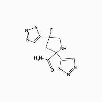 NC(=O)C1(c2cnns2)CC(F)(c2cnns2)CN1